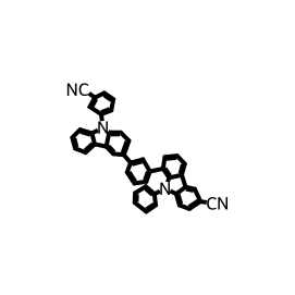 N#Cc1cccc(-n2c3ccccc3c3cc(-c4cccc(-c5cccc6c7cc(C#N)ccc7n(-c7ccccc7)c56)c4)ccc32)c1